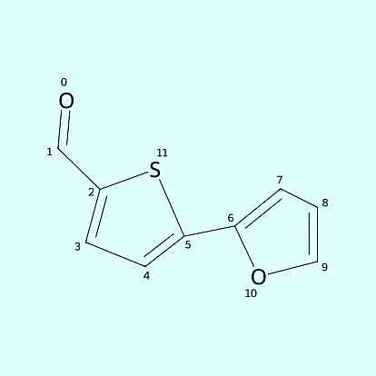 O=Cc1ccc(-c2ccco2)s1